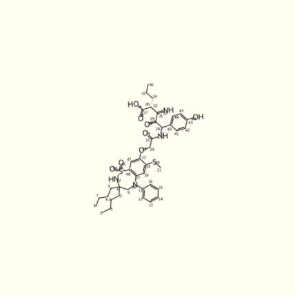 CCCCC1(CCCC)CN(c2ccccc2)c2cc(SC)c(OCC(=O)NC(C(=O)C(=N)[C@@H](CCC)C(=O)O)c3ccc(O)cc3)cc2S(=O)(=O)N1